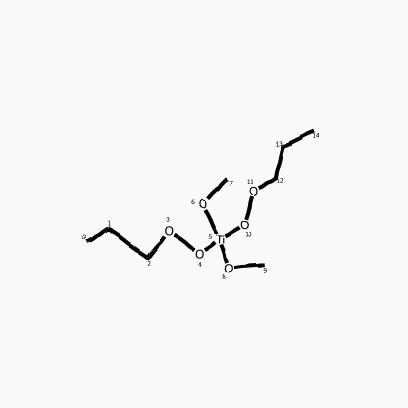 CCCO[O][Ti]([O]C)([O]C)[O]OCCC